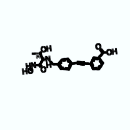 C[C@@H](O)[C@H](NCc1ccc(C#Cc2cccc(C(=O)O)c2)cc1)C(=O)NO